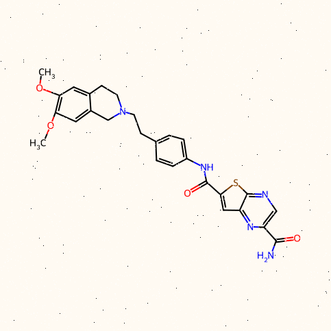 COc1cc2c(cc1OC)CN(CCc1ccc(NC(=O)c3[c]c4nc(C(N)=O)cnc4s3)cc1)CC2